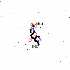 CC(C)(C)Cc1cc2c(cn1)O[C@]1(CCN(C(=O)OC(C)(C)C)C1)CC2=O